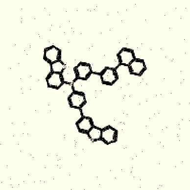 c1cc(-c2cccc(N(c3ccc(-c4ccc5sc6ccccc6c5c4)cc3)c3cccc4c3sc3ccccc34)c2)cc(-c2cccc3ccccc23)c1